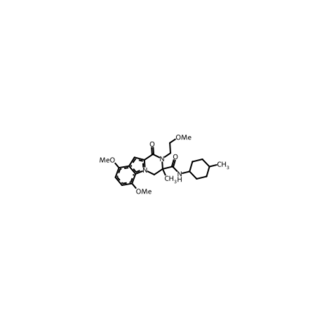 COCCN1C(=O)c2cc3c(OC)ccc(OC)c3n2CC1(C)C(=O)NC1CCC(C)CC1